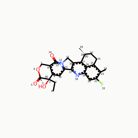 CC[C@]1(O)C(=O)OCc2c1cc1n(c2=O)Cc2c-1nc1cc(F)c(C)c3c1c2[C@H](C)CC3